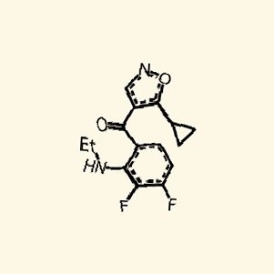 CCNc1c(C(=O)c2cnoc2C2CC2)ccc(F)c1F